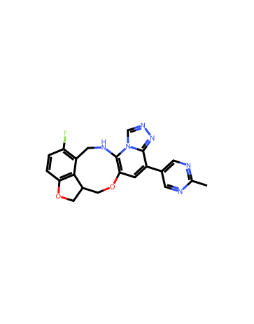 Cc1ncc(-c2cc3c(n4cnnc24)NCc2c(F)ccc4c2C(CO4)CO3)cn1